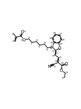 C=C(C)C(=O)OCCCCCCN1/C(=C/C=C(\C#N)C(=O)OCC)Oc2ccccc21